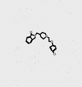 O=C1c2ccccc2CN1CC1CCN(CCOc2ccc(Cl)cc2)CC1